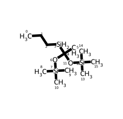 CCC[SiH2]C(C)(O[Si](C)(C)C)O[Si](C)(C)C